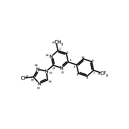 Cc1cc(-c2ccc(C(F)(F)F)cc2)nc(-n2cnc(Cl)n2)n1